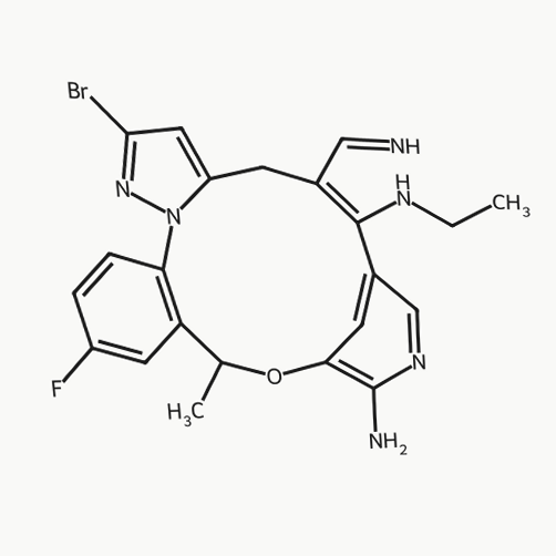 CCN/C1=C(\C=N)Cc2cc(Br)nn2-c2ccc(F)cc2C(C)Oc2cc1cnc2N